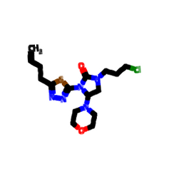 C=CCCc1nnc(N2C(=O)N(CCCCl)CC2N2CCOCC2)s1